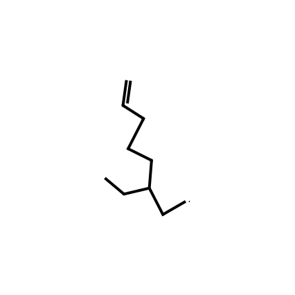 [CH2]CC(CC)CCCC=C